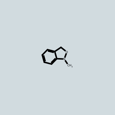 CN1OCc2ccccc21